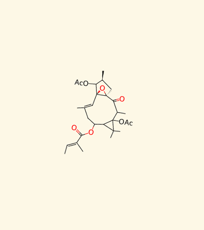 C/C=C(\C)C(=O)OC1C/C(C)=C/[C@@]23O[C@@]2(C[C@H](C)C3OC(C)=O)C(=O)C(C)C2(OC(C)=O)C1C2(C)C